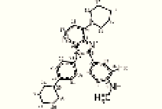 CNc1ccc(-c2nc3c(N4CCCCC4)ccnc3n2-c2ccc(C3CCCCC3)cc2)cc1F